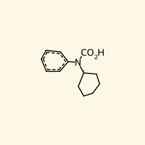 O=C(O)N([C]1CCCCC1)c1ccccc1